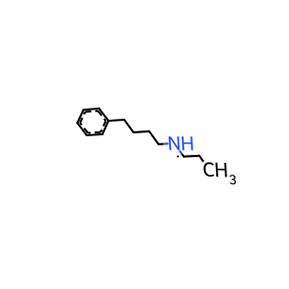 CC[CH]NCCCCc1ccccc1